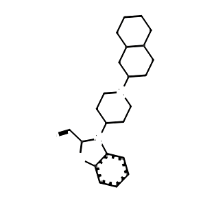 O=CC1Oc2ccccc2N1C1CCN(C2CCC3CCCCC3C2)CC1